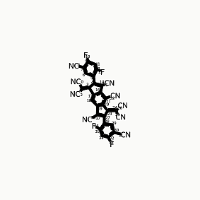 N#CC(C#N)=C1C(c2cc(C#N)c(F)cc2F)=C(C#N)c2c1cc1c(c2C#N)C(=C(C#N)C#N)C(c2cc(C#N)c(F)cc2F)=C1C#N